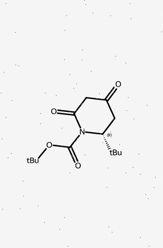 CC(C)(C)OC(=O)N1C(=O)CC(=O)C[C@@H]1C(C)(C)C